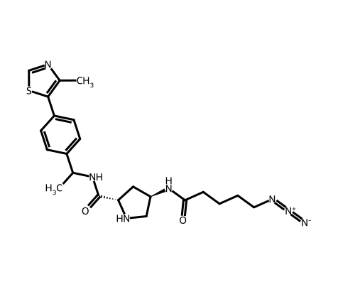 Cc1ncsc1-c1ccc(C(C)NC(=O)[C@@H]2C[C@@H](NC(=O)CCCCN=[N+]=[N-])CN2)cc1